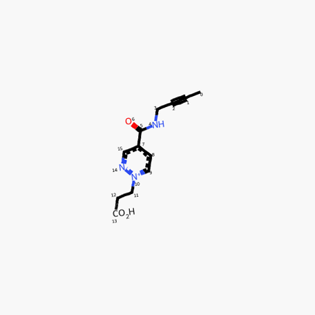 CC#CCNC(=O)c1cc[n+](CCC(=O)O)nc1